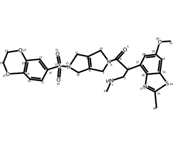 CNCC(C(=O)N1CC2=C(C1)CN(S(=O)(=O)c1ccc3c(c1)OCCO3)C2)c1cc(OC)cc2sc(C)nc12